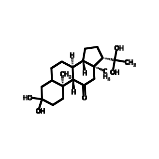 CC(O)(O)[C@H]1CC[C@H]2[C@@H]3CCC4CC(O)(O)CC[C@]4(C)[C@H]3C(=O)C[C@]12C